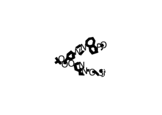 CC(C)(C)OC(=O)c1ccc(N2CCN(C3CCCCc4c3cccc4P(C)(C)=O)CC2)cc1Oc1cnc2c(ccn2COCC[Si](C)(C)C)c1